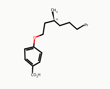 CC(C)CCC[C@H](C)CCOc1ccc(C(=O)O)cc1